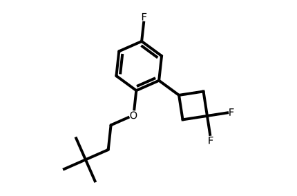 CC(C)(C)CCOc1ccc(F)cc1C1CC(F)(F)C1